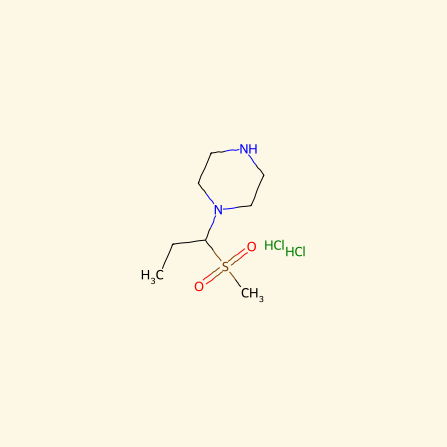 CCC(N1CCNCC1)S(C)(=O)=O.Cl.Cl